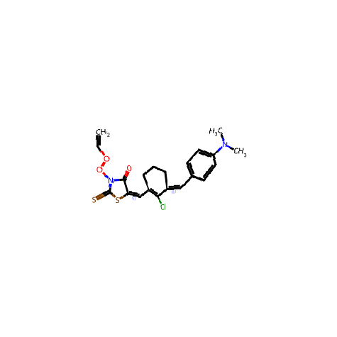 C=COON1C(=O)/C(=C\C2=C(Cl)C(=C/c3ccc(N(C)C)cc3)/CCC2)SC1=S